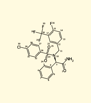 NC(=O)[C@@H](c1ccccc1)N(Cc1ccc(F)c(C(F)(F)F)c1)S(=O)(=O)c1ccc(Cl)cc1